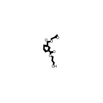 O=C(OCCCO)c1cccc(C(=O)OCC2CO2)c1